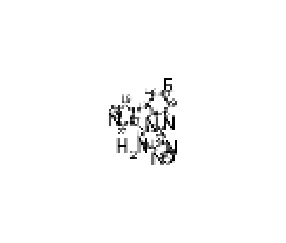 Nc1nonc1-c1nc2cc(F)ccc2n1Cc1cccnc1